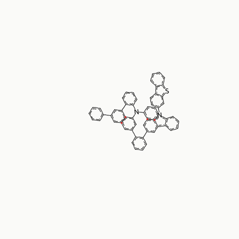 c1ccc(-c2cccc(-c3ccccc3N(c3ccccc3)c3cccc(-c4ccccc4-c4ccc5c(c4)c4ccccc4n5-c4ccc5c(c4)sc4ccccc45)c3)c2)cc1